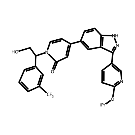 CC(C)Oc1ccc(-c2n[nH]c3ccc(-c4ccn(C(CO)c5cccc(C(F)(F)F)c5)c(=O)c4)cc23)cn1